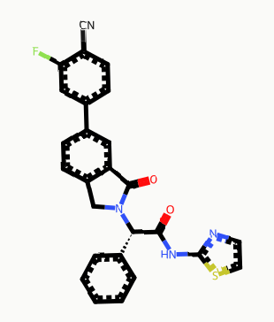 N#Cc1ccc(-c2ccc3c(c2)C(=O)N([C@H](C(=O)Nc2nccs2)c2ccccc2)C3)cc1F